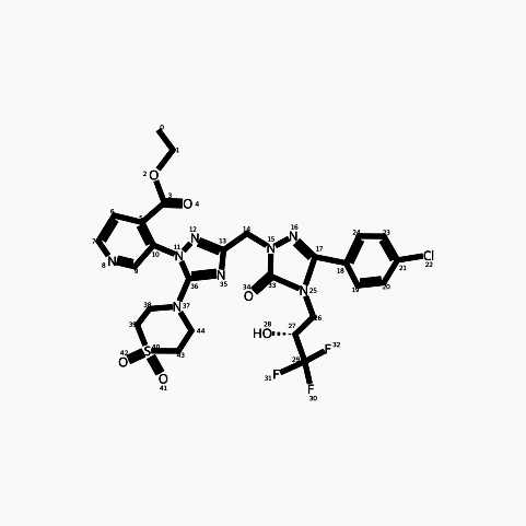 CCOC(=O)c1ccncc1-n1nc(Cn2nc(-c3ccc(Cl)cc3)n(C[C@@H](O)C(F)(F)F)c2=O)nc1N1CCS(=O)(=O)CC1